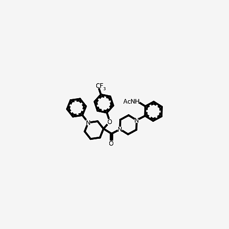 CC(=O)Nc1ccccc1N1CCN(C(=O)C2(Oc3ccc(C(F)(F)F)cc3)CCCN(c3ccccc3)C2)CC1